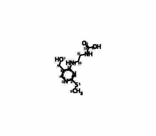 CSc1ncc(CO)c(NCCNC(=O)O)n1